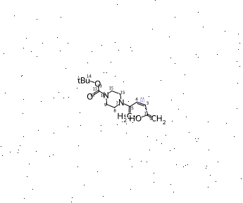 C=C(O)/C=C\C(=C)N1CCN(C(=O)OC(C)(C)C)CC1